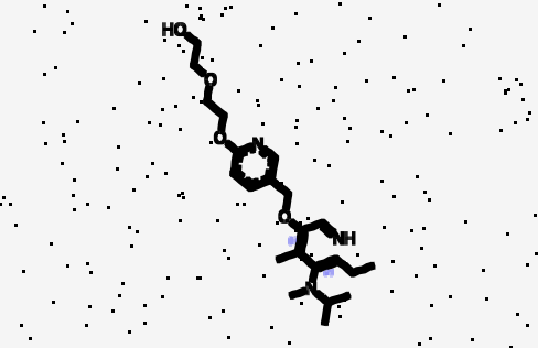 CC/C=C(/C(C)=C(\C=N)OCc1ccc(OCCOCCO)nc1)N(C)C(C)C